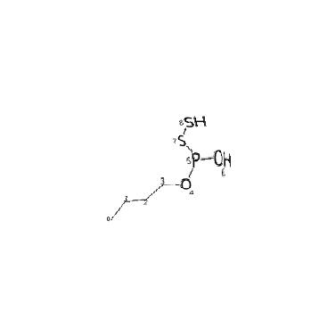 CCCCOP(O)SS